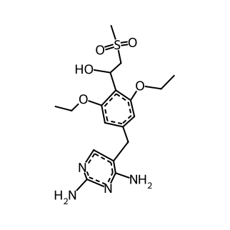 CCOc1cc(Cc2cnc(N)nc2N)cc(OCC)c1C(O)CS(C)(=O)=O